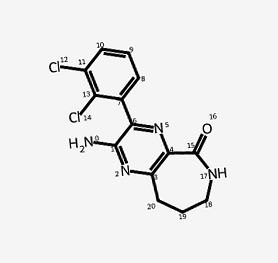 Nc1nc2c(nc1-c1cccc(Cl)c1Cl)C(=O)NCCC2